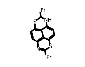 CC(C)C1=Nc2ccc3c4c(ccc(c24)S1)NC(C(C)C)S3